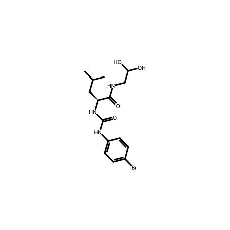 CC(C)C[C@H](NC(=O)Nc1ccc(Br)cc1)C(=O)NCC(O)O